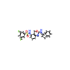 O=S(=O)(Nc1cccc2c1COC(N[C@@H]1CCc3ccccc31)=N2)c1cc(F)cc(F)c1